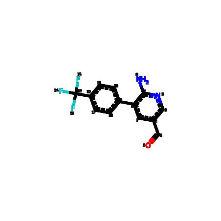 Nc1ncc(C=O)cc1-c1ccc(C(F)(F)F)cc1